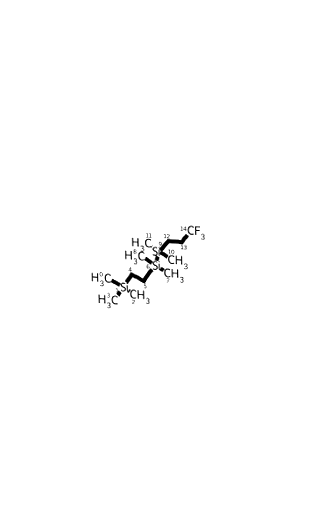 C[Si](C)(C)CC[Si](C)(C)[Si](C)(C)CCC(F)(F)F